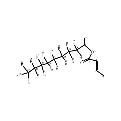 C/C=C/C(=O)OC(C)C(F)(F)C(F)(F)C(F)(F)C(F)(F)C(F)(F)C(F)(F)C(F)(F)C(F)(F)F